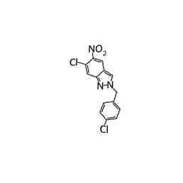 O=[N+]([O-])c1cc2cn(Cc3ccc(Cl)cc3)nc2cc1Cl